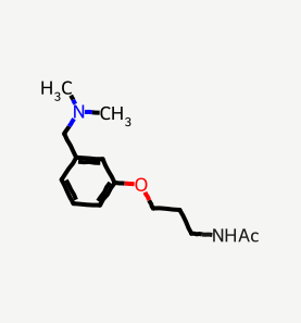 CC(=O)NCCCOc1cccc(CN(C)C)c1